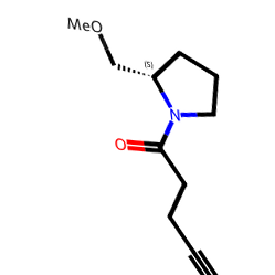 C#CCCC(=O)N1CCC[C@H]1COC